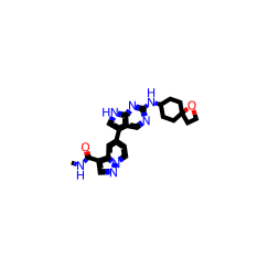 CNC(=O)c1cnn2ccc(-c3c[nH]c4nc(NC5CCC6(CCO6)CC5)ncc34)cc12